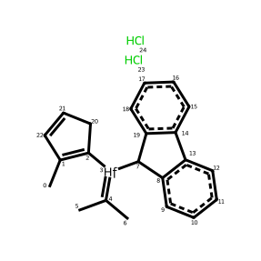 CC1=[C]([Hf](=[C](C)C)[CH]2c3ccccc3-c3ccccc32)CC=C1.Cl.Cl